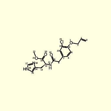 C=CCOc1ccc(CC(=O)N[C@@H](Cc2c[nH]cn2)C(=O)OC)cc1Cl